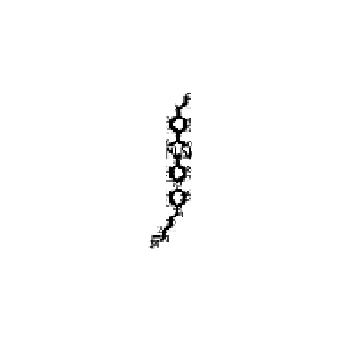 CCCc1ccc(-c2cnc(-c3ccc([C@H]4CC[C@H](CCCCCF)CC4)cc3)nc2)cc1